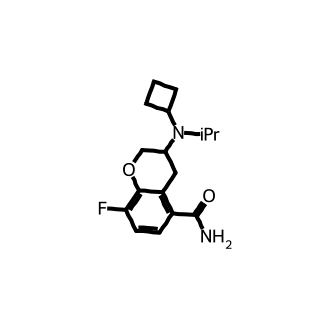 CC(C)N(C1CCC1)C1COc2c(F)ccc(C(N)=O)c2C1